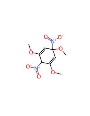 COC1=CC(OC)([N+](=O)[O-])C=C(OC)C1[N+](=O)[O-]